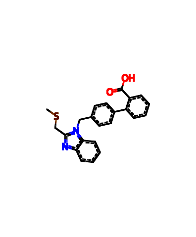 CSCc1nc2ccccc2n1Cc1ccc(-c2ccccc2C(=O)O)cc1